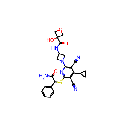 N#Cc1c(SC(C(N)=O)c2ccccc2)nc(N2CC(NC(=O)C3(O)COC3)C2)c(C#N)c1C1CC1